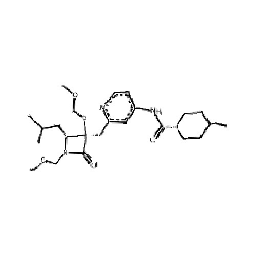 COCO[C@@]1(Cc2cc(NC(=O)[C@H]3CC[C@H](C)CC3)ccn2)C(=O)N(COC)[C@H]1CC(C)C